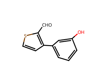 O=Cc1sccc1-c1cccc(O)c1